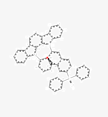 O=P(c1ccccc1)(c1ccccc1)c1ccc2cc(-n3c4ccccc4c4ccc5c6ccccc6n(-c6ccccc6)c5c43)ccc2c1